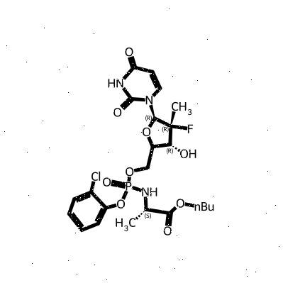 CCCCOC(=O)[C@H](C)NP(=O)(OCC1O[C@@H](n2ccc(=O)[nH]c2=O)[C@](C)(F)[C@@H]1O)Oc1ccccc1Cl